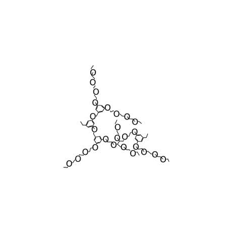 CCOCCOCCOCCOc1cc(COc2cc(CC)cc(OCc3cc(OCCOCCOCCOCC)cc(OCCOC(COCCOCC)C(COCCOc4cc(CC)cc(OCCOCCOCCOCC)c4)OCCOCC)c3)c2)cc(OCCOCCOCCOCC)c1